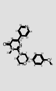 COc1ccc([C@H]2CN(c3nc(-c4ccncc4)cc(=O)n3C)CCO2)cc1